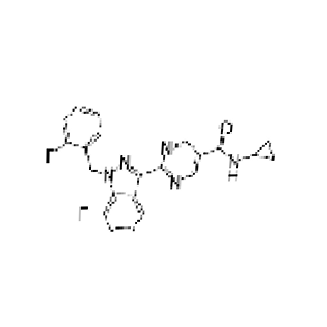 O=C(NC1CC1)c1cnc(-c2nn(Cc3ccccc3F)c3c(F)cccc23)nc1